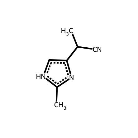 Cc1nc(C(C)C#N)c[nH]1